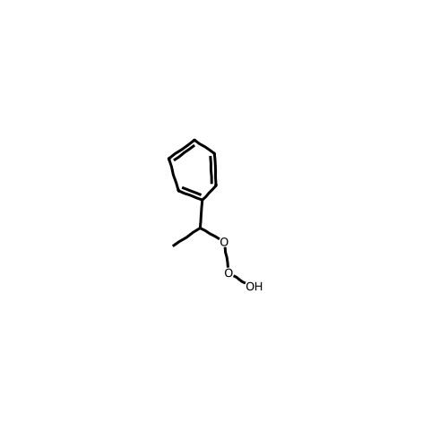 CC(OOO)c1ccccc1